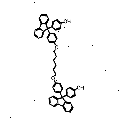 Oc1ccc(C2(c3ccc(OCCCCCCOc4ccc(C5(c6ccc(O)cc6)c6ccccc6-c6ccccc65)cc4)cc3)c3ccccc3-c3ccccc32)cc1